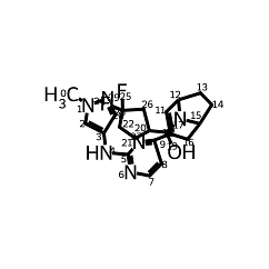 Cn1cc(Nc2nccc(C3=CC4CCC(C3)N4C(O)C3CCC(F)(F)C3)n2)cn1